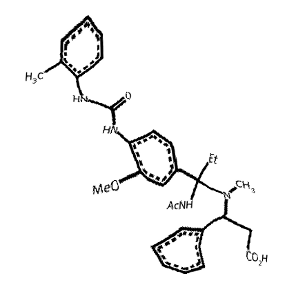 CCC(NC(C)=O)(c1ccc(NC(=O)Nc2ccccc2C)c(OC)c1)N(C)C(CC(=O)O)c1ccccc1